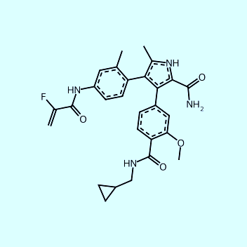 C=C(F)C(=O)Nc1ccc(-c2c(C)[nH]c(C(N)=O)c2-c2ccc(C(=O)NCC3CC3)c(OC)c2)c(C)c1